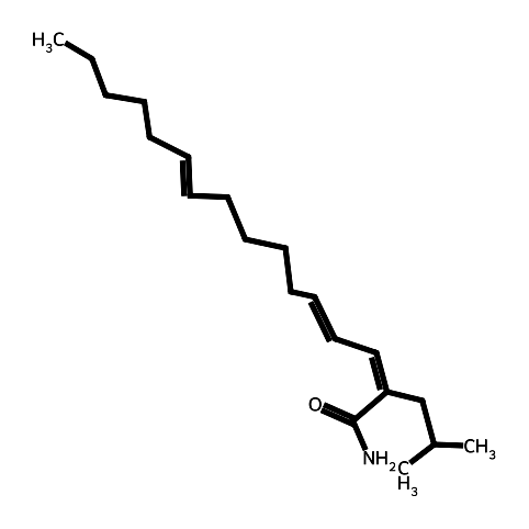 CCCCCC=CCCCCC=CC=C(CC(C)C)C(N)=O